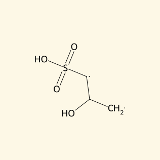 [CH2]C(O)[CH]S(=O)(=O)O